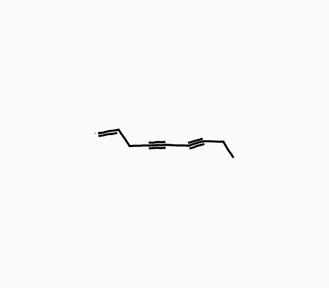 [CH]=CCC#CC#CCC